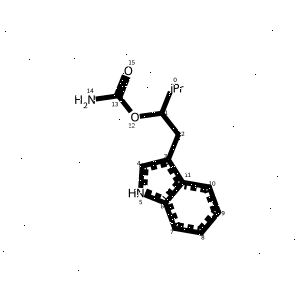 CC(C)C(Cc1c[nH]c2ccccc12)OC(N)=O